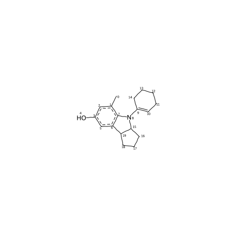 Cc1cc(O)cc2c1N(C1=CCCCC1)C1CCCC21